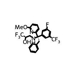 COc1cccc([C@](Cc2ccccc2)(NC[C@@H](O)C(F)(F)F)c2cc(F)cc(C(F)(F)F)c2)n1